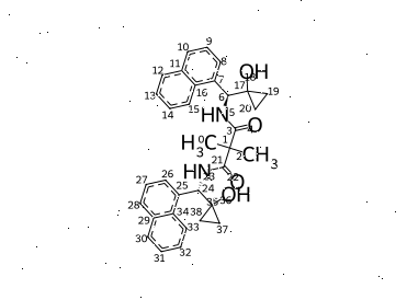 CC(C)(C(=O)N[C@@H](c1cccc2ccccc12)C1(O)CC1)C(=O)N[C@@H](c1cccc2ccccc12)C1(O)CC1